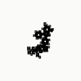 CC(C)(C)OC(=O)NC1(c2ccc(-c3nc4c(F)cc(F)cn4c3-c3ccccc3)cc2)CCC1